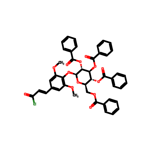 COc1cc(/C=C/C(=O)Cl)cc(OC)c1O[C@@H]1O[C@H](COC(=O)c2ccccc2)[C@@H](OC(=O)c2ccccc2)[C@H](OC(=O)c2ccccc2)[C@H]1OC(=O)c1ccccc1